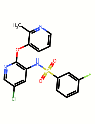 Cc1ncccc1Oc1ncc(Cl)cc1NS(=O)(=O)c1cccc(F)c1